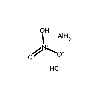 Cl.O=[N+]([O-])O.[AlH3]